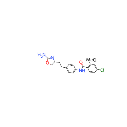 COc1cc(Cl)ccc1C(=O)Nc1ccc(CCC2COC(N)=N2)cc1